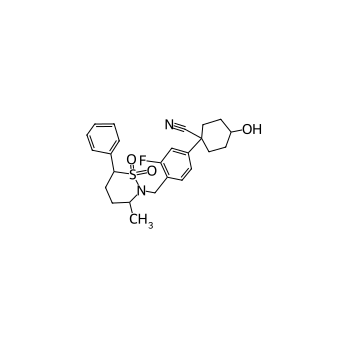 CC1CCC(c2ccccc2)S(=O)(=O)N1Cc1ccc(C2(C#N)CCC(O)CC2)cc1F